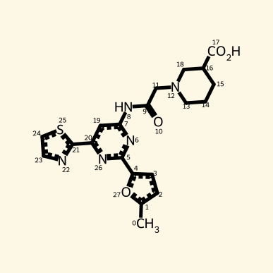 Cc1ccc(-c2nc(NC(=O)CN3CCCC(C(=O)O)C3)cc(-c3nccs3)n2)o1